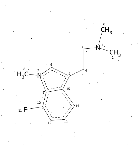 CN(C)CCc1cn(C)c2c(F)cccc12